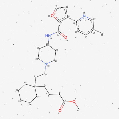 COC(=O)CCCC1(CCN2CCC(NC(=O)c3occc3-c3ccc(C)cn3)CC2)CCCCC1